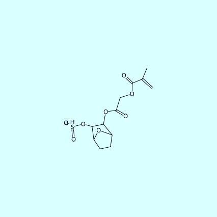 C=C(C)C(=O)OCC(=O)OC1C2CCC(O2)C1O[SH](=O)=O